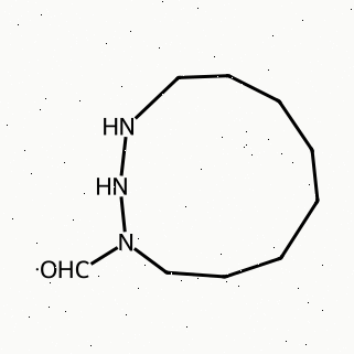 O=[C]N1CCCCCCCCNN1